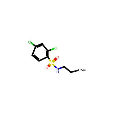 COCCNS(=O)(=O)c1ccc(Cl)cc1Cl